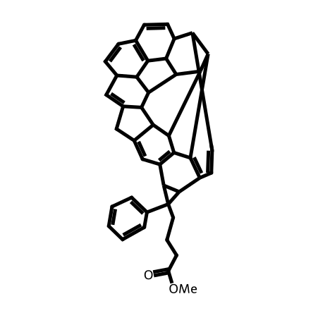 COC(=O)CCCC1(c2ccccc2)C2C3=C4C5=C(C=C6CC7=CC8C=CC9=C%10C8C8C7C6C5C5C4C(C=C3)C(C=C9)C%10C85)C21